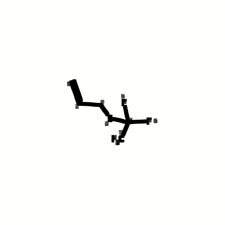 C=CCSC(F)(F)C(F)(F)F